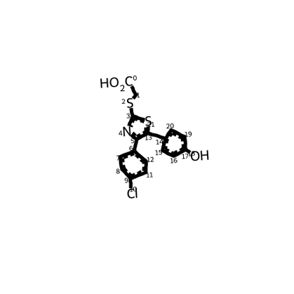 O=C(O)CSc1nc(-c2ccc(Cl)cc2)c(-c2ccc(O)cc2)s1